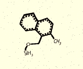 Cc1ccc2ccccc2c1CO[SiH3]